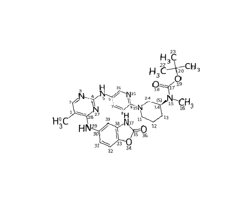 Cc1cnc(Nc2ccc(N3CCC[C@H](N(C)C(=O)OC(C)(C)C)C3)nc2)nc1Nc1ccc2oc(=O)[nH]c2c1